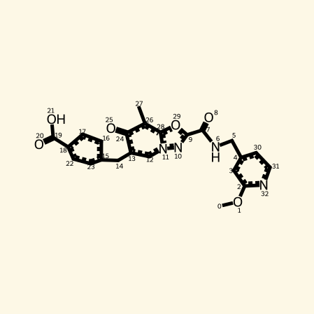 COc1cc(CNC(=O)c2nn3cc(Cc4ccc(C(=O)O)cc4)c(=O)c(C)c3o2)ccn1